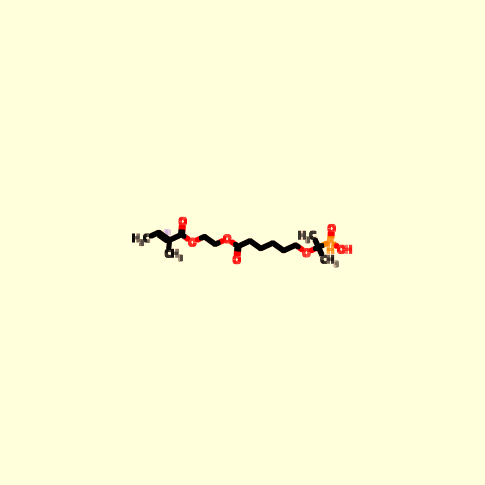 C/C=C(\C)C(=O)OCCOC(=O)CCCCCOC(C)(C)[PH](=O)O